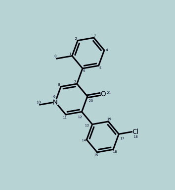 Cc1ccccc1-c1cn(C)cc(-c2cccc(Cl)c2)c1=O